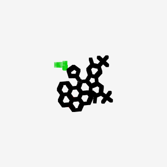 Cc1cc2c(cc1C(C)(C)C)-c1cc(C(C)(C)C)c(C)cc1[CH]2[Zr]([C]1=CC=CC1)=[C](c1cccc2ccccc12)c1cccc2ccccc12.Cl.Cl